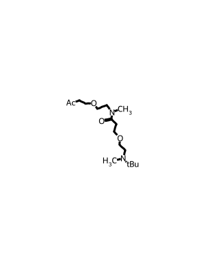 CC(=O)CCOCCN(C)C(=O)CCOCCN(C)C(C)(C)C